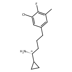 Cc1cc(CCC[C@@H](N)C2CC2)cc(Cl)c1F